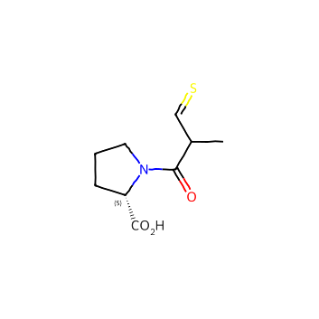 CC(C=S)C(=O)N1CCC[C@H]1C(=O)O